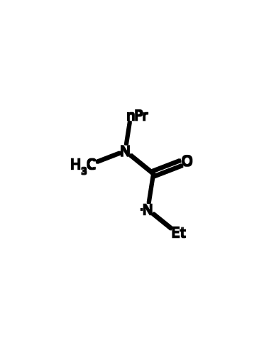 CCCN(C)C(=O)[N]CC